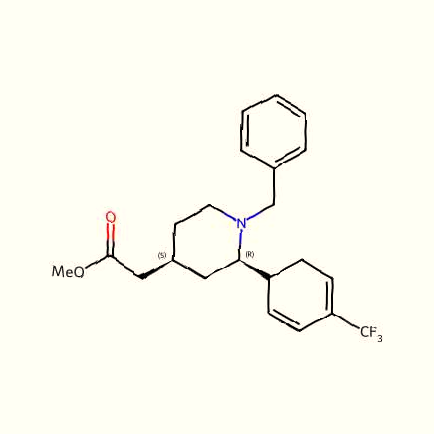 COC(=O)C[C@H]1CCN(Cc2ccccc2)[C@@H](C2C=CC(C(F)(F)F)=CC2)C1